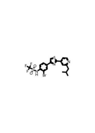 CC(C)Cc1cc(-c2nc(-c3ccc(NS(=O)(=O)C(F)(F)F)c(Br)c3)cs2)ccn1